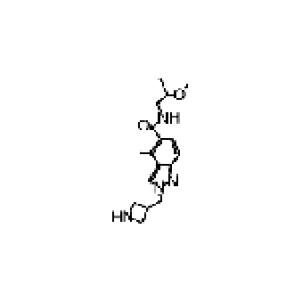 COC(C)CNC(=O)c1ccc2nn(CC3CNC3)cc2c1C